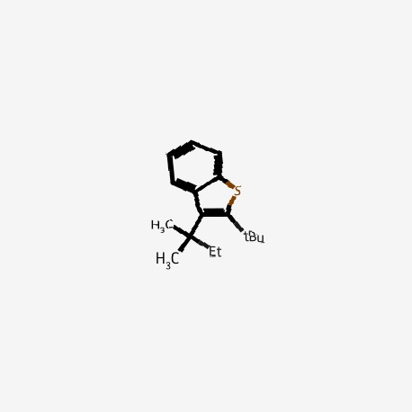 CCC(C)(C)c1c(C(C)(C)C)sc2ccccc12